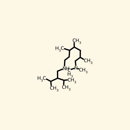 CC(CC(C)C(C)CCNCC(C(C)C)C(C)C)CN(C)C